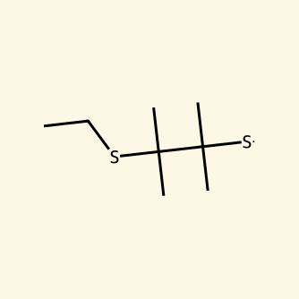 CCSC(C)(C)C(C)(C)[S]